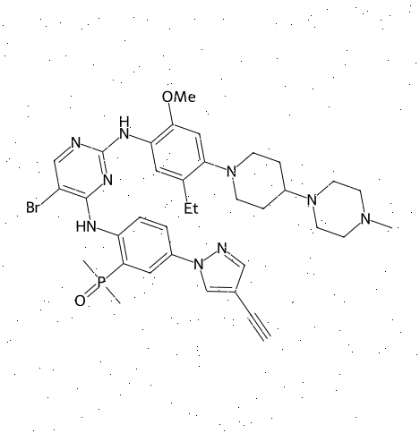 C#Cc1cnn(-c2ccc(Nc3nc(Nc4cc(CC)c(N5CCC(N6CCN(C)CC6)CC5)cc4OC)ncc3Br)c(P(C)(C)=O)c2)c1